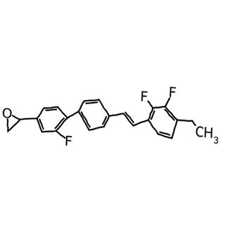 CCc1ccc(/C=C/c2ccc(-c3ccc(C4CO4)cc3F)cc2)c(F)c1F